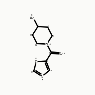 CC(=O)C1CCN(C(=O)c2cnco2)CC1